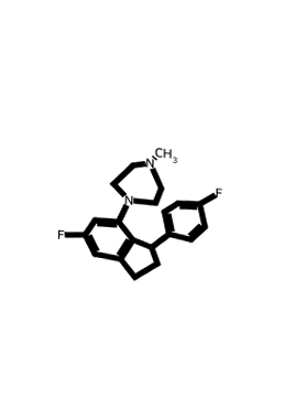 CN1CCN(c2cc(F)cc3c2C(c2ccc(F)cc2)CC3)CC1